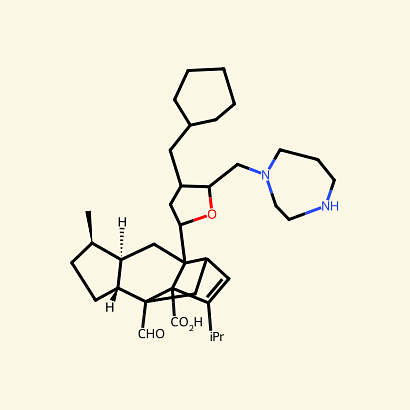 CC(C)C1=CC2CC3(C=O)[C@@H]4CC[C@@H](C)[C@H]4CC2(C2CC(CC4CCCCC4)C(CN4CCCNCC4)O2)C13C(=O)O